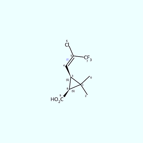 CC1(C)[C@H](/C=C(/Cl)C(F)(F)F)[C@@H]1C(=O)O